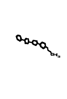 CCCCc1ccc(-c2ccc(-c3ccc(-c4ccccc4)cc3)cc2)cc1